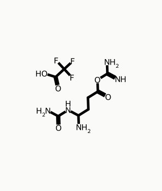 N=C(N)OC(=O)CCC(N)NC(N)=O.O=C(O)C(F)(F)F